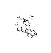 COc1ccc(Cn2c(=O)c3c(C)nccc3c3ccc(ON(C(=O)OC(C)(C)C)[C@@H](C)CC(C)C)cc32)cc1